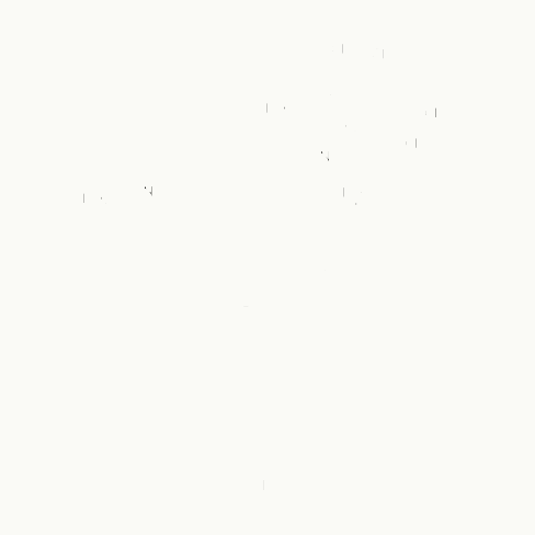 CC(C)[Si](C(C)C)(C(C)C)n1cc(C2CCN(C)CC2)c2cc(C=C(F)c3ccc(F)cc3)ccc21